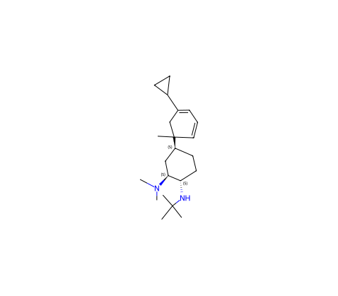 CN(C)[C@H]1C[C@@H](C2(C)C=CC=C(C3CC3)C2)CC[C@@H]1NC(C)(C)C